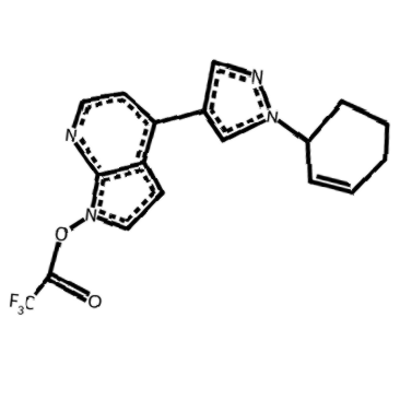 O=C(On1ccc2c(-c3cnn(C4C=CCCC4)c3)ccnc21)C(F)(F)F